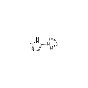 [c]1ncc(-n2cccn2)[nH]1